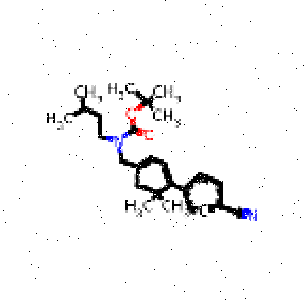 CC(C)CCN(CC1=CC=C(c2ccc(C#N)cc2)C(C)(C)C1)C(=O)OC(C)(C)C